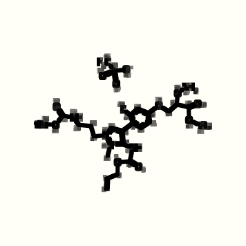 C=CCOC(=O)Nc1c(-c2ccc(OCC(ON)C(=O)OC(C)(C)C)cc2F)cn(CCCNC(=O)OC(C)(C)C)[n+]1C.O=S(=O)([O-])C(F)(F)F